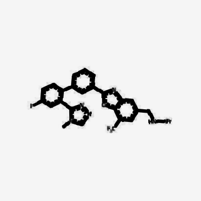 CC(C)NCc1cc(C(F)(F)F)c2oc(-c3cccc(-c4ccc(F)cc4-c4nncn4C)c3)nc2c1